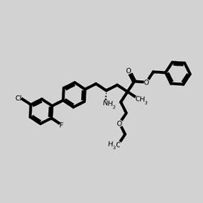 CCOCCC(C)(C[C@H](N)Cc1ccc(-c2cc(Cl)ccc2F)cc1)C(=O)OCc1ccccc1